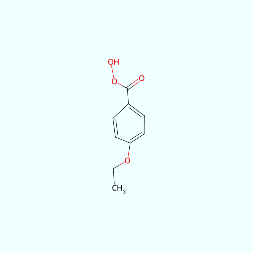 CCOc1ccc(C(=O)OO)cc1